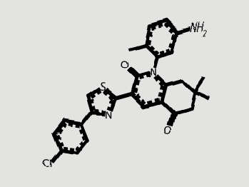 Cc1ccc(N)cc1-n1c2c(cc(-c3nc(-c4ccc(Cl)cc4)cs3)c1=O)C(=O)CC(C)(C)C2